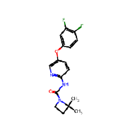 CC1(C)CCN1C(=O)Nc1ccc(Oc2ccc(F)c(F)c2)cn1